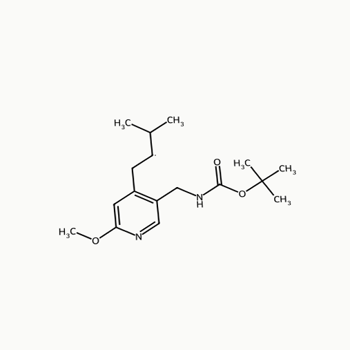 COc1cc(C[CH]C(C)C)c(CNC(=O)OC(C)(C)C)cn1